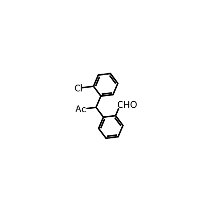 CC(=O)C(c1ccccc1Cl)c1ccccc1C=O